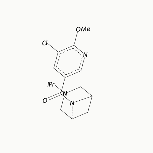 COc1ncc(C(=O)N2C3CC2CN(C(C)C)C3)cc1Cl